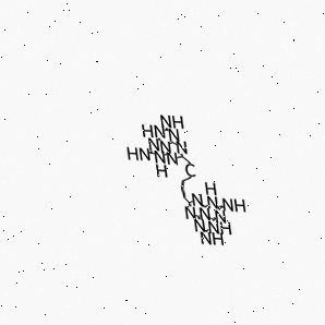 N=C1N=C2N=C(C=C=CC=C=CC3=NC4=NC(=N)NC5=NC(=N)NC(=N3)N45)N=C3NC(=N)N=C(N1)N23